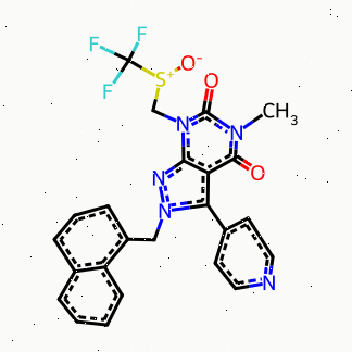 Cn1c(=O)c2c(-c3ccncc3)n(Cc3cccc4ccccc34)nc2n(C[S+]([O-])C(F)(F)F)c1=O